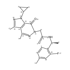 Cc1ccc([C@H](C)NC(=O)Cn2nc(C)c3c(C)nn(C4CC4)c3c2=O)c(F)c1